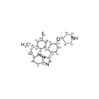 C[C@@H](Oc1ccc2ncc(-c3ccc(OC4CCNCC4)cc3)n2n1)c1cccc(F)c1